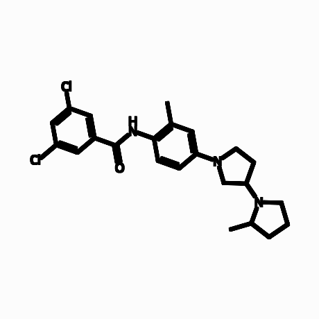 Cc1cc(N2CCC(N3CCCC3C)C2)ccc1NC(=O)c1cc(Cl)cc(Cl)c1